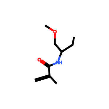 C=C(C)C(=O)NC(CC)COC